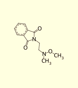 CON(C)CCN1C(=O)c2ccccc2C1=O